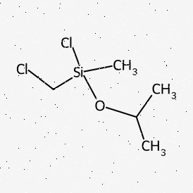 CC(C)O[Si](C)(Cl)CCl